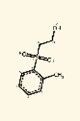 Cc1ccccc1S(=O)(=O)CCO